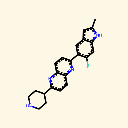 Cc1cc2cc(-c3ccc4nc(C5CCNCC5)ccc4n3)c(F)cc2[nH]1